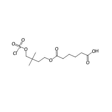 CC(C)(CCOC(=O)CCCCC(=O)O)COS(=O)(=O)Cl